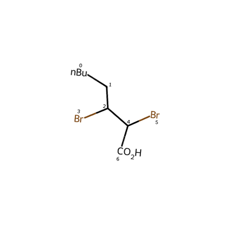 CCCCCC(Br)C(Br)C(=O)O